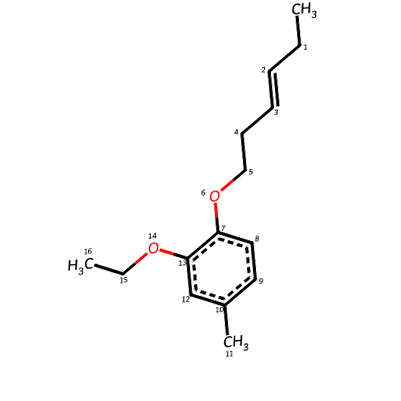 CCC=CCCOc1ccc(C)cc1OCC